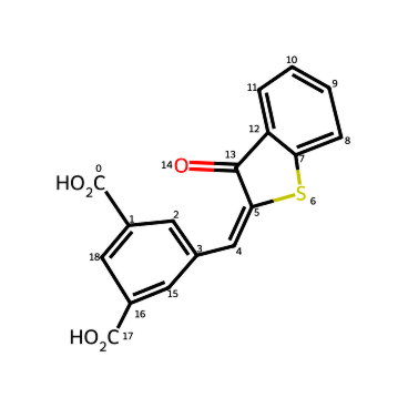 O=C(O)c1cc(C=C2Sc3ccccc3C2=O)cc(C(=O)O)c1